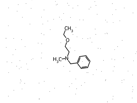 CCOCCN(C)Cc1ccccc1